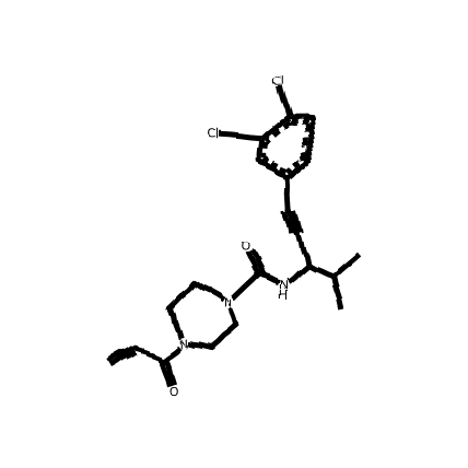 C=CC(=O)N1CCN(C(=O)NC(C#Cc2ccc(Cl)c(Cl)c2)C(C)C)CC1